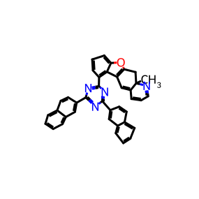 CC12Cc3oc4cccc(-c5nc(-c6ccc7ccccc7c6)nc(-c6ccc7ccccc7c6)n5)c4c3C=C1C=CC=N2